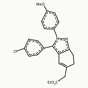 CCOC(=O)CC1=Cc2c(nn(-c3ccc(OC)cc3)c2-c2ccc(Cl)cc2)CC1